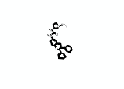 CN1CCC(NC(=O)Nc2ccc3nc(-c4ccccc4)c(-c4ccccc4)cc3c2)C1